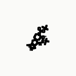 Cn1ncc2c1CC1(CCN(C(=O)OC(C)(C)C)CC1)/C2=N\[S@+]([O-])C(C)(C)C